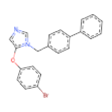 Brc1ccc(Oc2cncn2Cc2ccc(-c3ccccc3)cc2)cc1